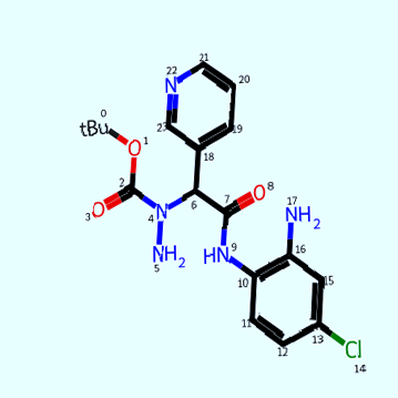 CC(C)(C)OC(=O)N(N)C(C(=O)Nc1ccc(Cl)cc1N)c1cccnc1